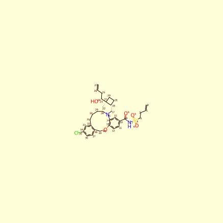 C=CCCS(=O)(=O)NC(=O)c1ccc2c(c1)N(C[C@H]1CC[C@]1(C)[C@H](O)CC=C)CCCCc1cc(Cl)ccc1CO2